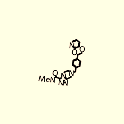 CNC(=O)c1nnc2n1CCN(Cc1ccc(C3COc4cccnc4O3)cc1)C2